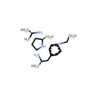 C[C@H](N)C(=O)O.NCC(=O)O.N[C@@H](Cc1ccccc1)C(=O)O.O=C(O)[C@@H]1CCCN1